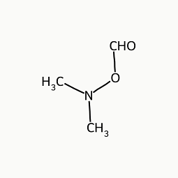 CN(C)OC=O